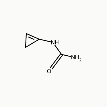 NC(=O)NC1=CC1